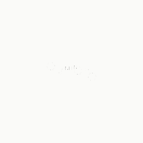 O=C(Cc1ccccc1)NCc1ccc(Oc2ccccc2)cn1